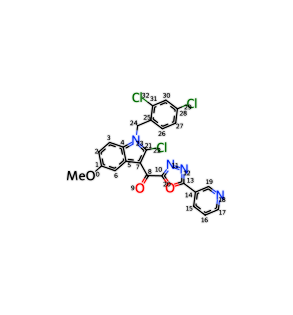 COc1ccc2c(c1)c(C(=O)c1nnc(-c3cccnc3)o1)c(Cl)n2Cc1ccc(Cl)cc1Cl